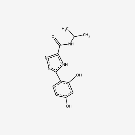 CC(C)NC(=O)c1nnc(-c2ccc(O)cc2O)[nH]1